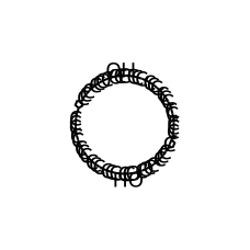 CC1CCCC(C)CCCC(C)CCC(C)CCCC(C)C2CCC(CCCC(C)CCOCC(CO)OCCC(C)CCCC(C)CCCC(C)CCCC(C)CCC(C)CCCC(C)C3CCC(CCCC(C)CCOCC(CO)OCCC(C)CCC1)C3)C2